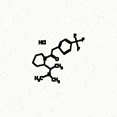 CC(C1CCCCN1C(=O)Cc1ccc(C(F)(F)F)cc1)N(C)C.Cl